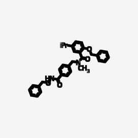 CC(C)c1ccc(OCc2ccccc2)c(C(=O)N(C)Cc2ccc(C(=O)NOCc3ccccc3)cc2)c1